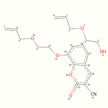 C=CCOCCO.C=CCOCCOc1cccc2cc(C#N)c(=O)oc12